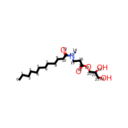 CCCCCCCCCCCC(=O)N(C)CCC(=O)OCC(O)CO